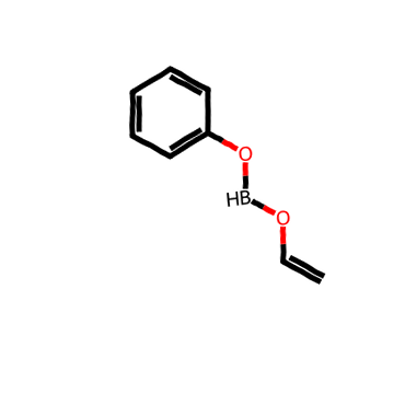 C=COBOc1ccccc1